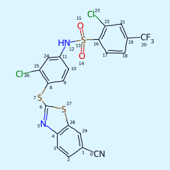 N#Cc1ccc2nc(Sc3ccc(NS(=O)(=O)c4ccc(C(F)(F)F)cc4Cl)cc3Cl)sc2c1